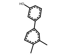 Cc1ccc(-c2cccc(O)c2)cc1C